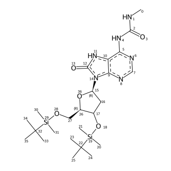 CNC(=O)Nc1ncnc2c1[nH]c(=O)n2[C@H]1CC(O[Si](C)(C)C(C)(C)C)[C@@H](CO[Si](C)(C)C(C)(C)C)O1